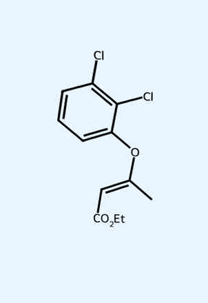 CCOC(=O)C=C(C)Oc1cccc(Cl)c1Cl